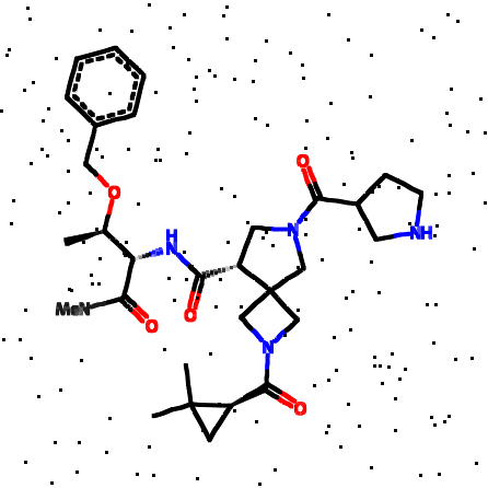 CNC(=O)[C@@H](NC(=O)[C@@H]1CN(C(=O)C2CCNC2)CC12CN(C(=O)[C@H]1CC1(C)C)C2)[C@@H](C)OCc1ccccc1